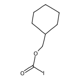 O=C(I)OCC1CCCCC1